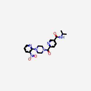 CC(C)NC(=O)c1ccc(C(=O)N2CCN(c3ncccc3[N+](=O)[O-])CC2)nc1